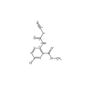 COC(=O)c1cc(Cl)ccc1NC(=O)CC#N